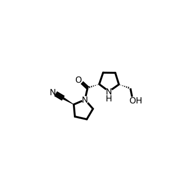 N#C[C@@H]1CCCN1C(=O)[C@@H]1CC[C@H](CO)N1